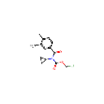 Cc1ccc(C(=O)N(C(=O)OCCl)C2CC2)cc1[N+](=O)[O-]